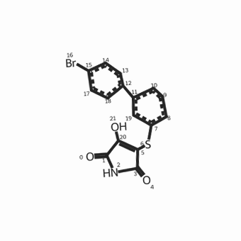 O=C1NC(=O)C(Sc2cccc(-c3ccc(Br)cc3)c2)=C1O